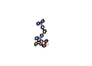 c1cc(-c2ccc(N(c3cccc(-c4cccc5oc6ccccc6c45)c3)c3ccccc3-c3cc4ccccc4c4ccccc34)cc2)cc(-c2ccc(-n3c4ccccc4c4ccccc43)cc2)c1